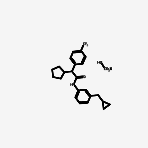 O=C(Nc1cccc(CC2CC2)c1)C(c1ccc(C(F)(F)F)cc1)C1CCCC1.O=C(O)O